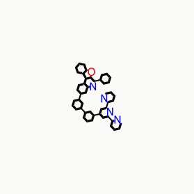 c1ccc(-c2nc3cc(-c4cccc(-c5cccc(-c6cc(-c7ccccn7)nc(-c7ccccn7)c6)c5)c4)ccc3c3c2oc2ccccc23)cc1